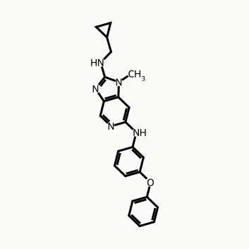 Cn1c(NCC2CC2)nc2cnc(Nc3cccc(Oc4ccccc4)c3)cc21